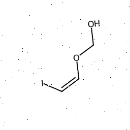 OCO/C=C\I